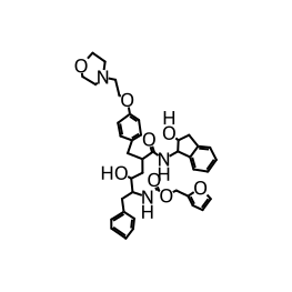 O=C(NC(Cc1ccccc1)C(O)CC(Cc1ccc(OCCN2CCOCC2)cc1)C(=O)NC1c2ccccc2CC1O)OCc1ccco1